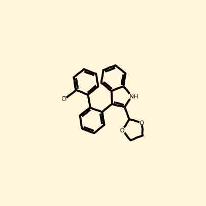 Clc1ccccc1-c1ccccc1-c1c(C2OCCO2)[nH]c2ccccc12